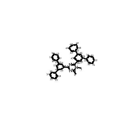 CCN(C)/C(=N\C(=N)c1cc(-c2ccccc2)cc(-c2ccccc2)c1)c1cc(-c2ccccc2)cc(-c2ccccc2)c1